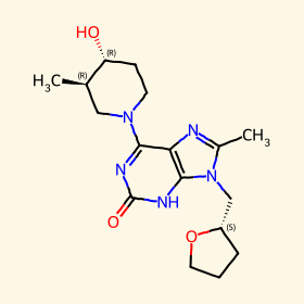 Cc1nc2c(N3CC[C@@H](O)[C@H](C)C3)nc(=O)[nH]c2n1C[C@@H]1CCCO1